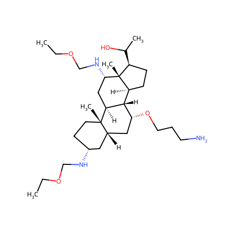 CCOCN[C@@H]1CC[C@@]2(C)[C@@H](C1)C[C@@H](OCCCN)[C@@H]1[C@@H]2C[C@H](NCOCC)[C@]2(C)[C@@H](C(C)O)CC[C@@H]12